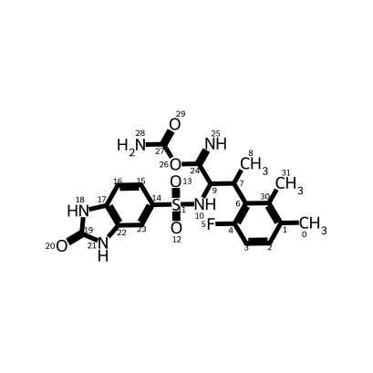 Cc1ccc(F)c(C(C)C(NS(=O)(=O)c2ccc3[nH]c(=O)[nH]c3c2)C(=N)OC(N)=O)c1C